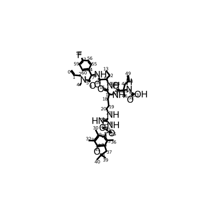 C=CCN(C)C(=O)C(NC(=O)C(CC)NC(=O)C(CCCNC(=N)NS(=O)(=O)c1c(C)c(C)c2c(c1C)CC(C)(C)O2)NC(=O)C(C)(CC=C)NC(=O)O)c1ccc(F)cc1